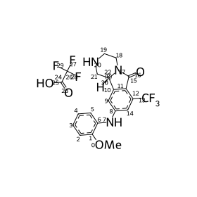 COc1ccccc1Nc1cc2c(c(C(F)(F)F)c1)C(=O)N1CCNC[C@@H]21.O=C(O)C(F)(F)F